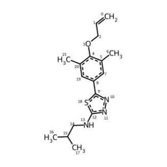 C=CCOc1c(C)cc(-c2nnc(NCC(C)C)s2)cc1C